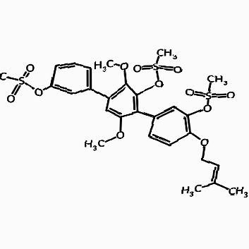 COc1cc(-c2cccc(OS(C)(=O)=O)c2)c(OC)c(OS(C)(=O)=O)c1-c1ccc(OCC=C(C)C)c(OS(C)(=O)=O)c1